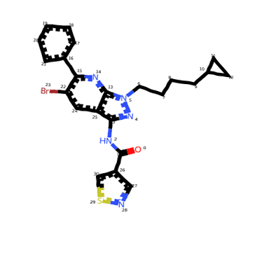 O=C(Nc1nn(CCCCC2CC2)c2nc(-c3cc[c]cc3)c(Br)cc12)c1cnsc1